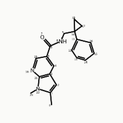 Cc1cc2cc(C(=O)NCC3(c4ccccc4)CC3)cnc2n1C